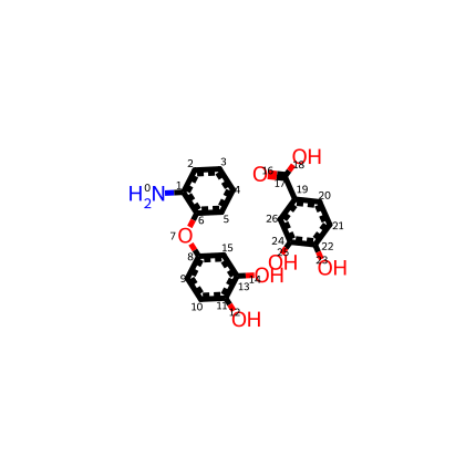 Nc1ccccc1Oc1ccc(O)c(O)c1.O=C(O)c1ccc(O)c(O)c1